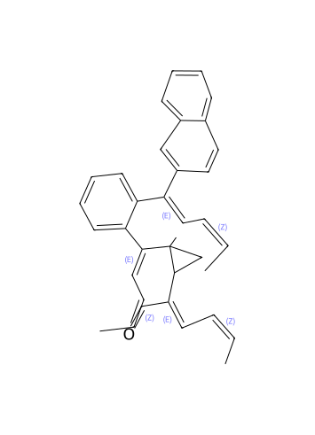 C/C=C\C=C(/c1ccc2ccccc2c1)c1ccccc1/C(=C/C=C\C)C1(C)CC1/C(C=O)=C\C=C/C